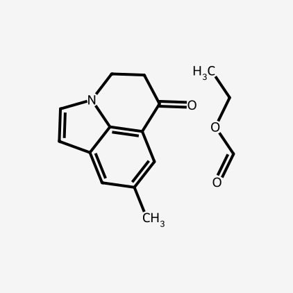 CCOC=O.Cc1cc2c3c(ccn3CCC2=O)c1